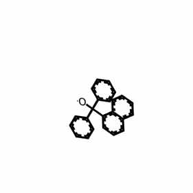 [O]C(c1ccccc1)(c1ccccc1)c1cccc2ccccc12